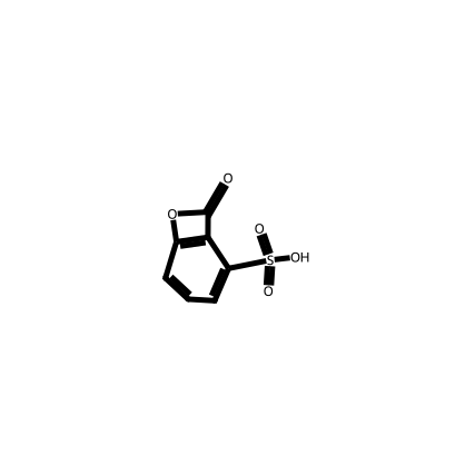 O=C1Oc2cccc(S(=O)(=O)O)c21